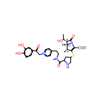 CC(O)[C@H]1C(=O)N2C(C(=O)[O-])=C(SC3CNC(C(=O)N(C)CCc4cc[n+](CC(=O)c5ccc(O)c(O)c5)cc4)C3)[C@@H](C)[C@H]12